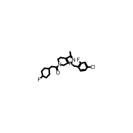 Cc1nn(Cc2ccc(Cl)cc2F)c2c1CCN(C(=O)CC1CCC(F)CC1)C2